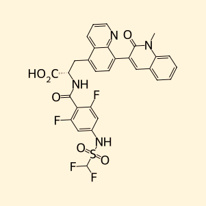 Cn1c(=O)c(-c2ccc(C[C@H](NC(=O)c3c(F)cc(NS(=O)(=O)C(F)F)cc3F)C(=O)O)c3cccnc23)cc2ccccc21